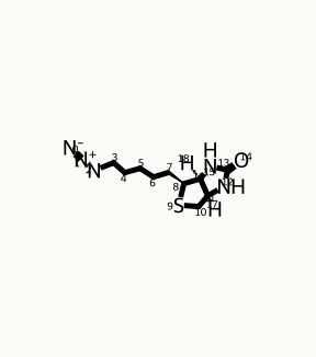 [N-]=[N+]=NCCCCC[C@@H]1SC[C@@H]2NC(=O)N[C@@H]21